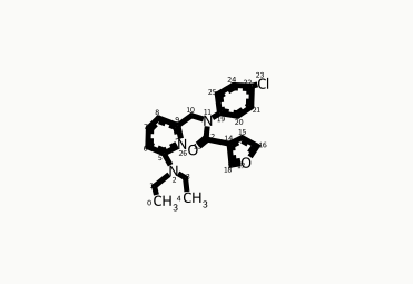 CCN(CC)c1cccc(CN(C(=O)c2ccoc2)c2ccc(Cl)cc2)n1